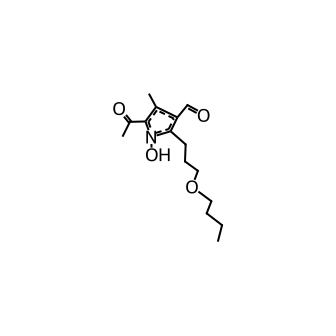 CCCCOCCCc1c(C=O)c(C)c(C(C)=O)n1O